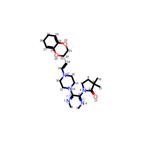 C/N=C(\C(=N/C)N1CCC(C)(C)C1=O)N1CCN(C=C[C@H]2COC3=CCCC=C3O2)CC1